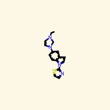 CCN1C=CN(c2ccc3c(ccn3-c3nccs3)c2)C1